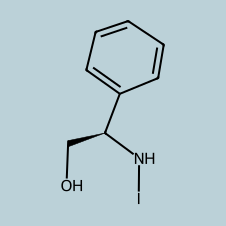 OC[C@H](NI)c1ccccc1